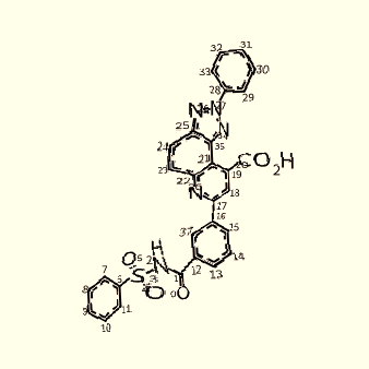 O=C(NS(=O)(=O)c1ccccc1)c1cccc(-c2cc(C(=O)O)c3c(ccc4nn(-c5ccccc5)nc43)n2)c1